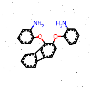 Nc1ccccc1Oc1ccc2c(c1Oc1ccccc1N)-c1ccccc1-2